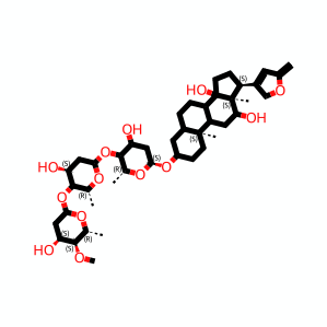 C=C1C=C([C@@H]2CCC3(O)C4CCC5CC(O[C@@H]6CC(O)C(OC7C[C@H](O)C(OC8C[C@H](O)[C@H](OC)[C@@H](C)O8)[C@@H](C)O7)[C@@H](C)O6)CC[C@]5(C)C4CC(O)[C@]23C)CO1